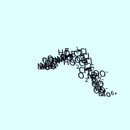 O=C(O)CCl.O=C(O)CCl.O=C(O)CCl.O=C([O-])C(F)(F)Cl.O=C([O-])C(F)(F)Cl.O=[N+]([O-])[O-].O=[N+]([O-])[O-].[Mo+6].[Mo+6].[Mo+6].[N-3].[N-3].[O-2].[O-2].[O]=[Cr](=[O])([O-])[O-].[O]=[Cr](=[O])([O-])[O-]